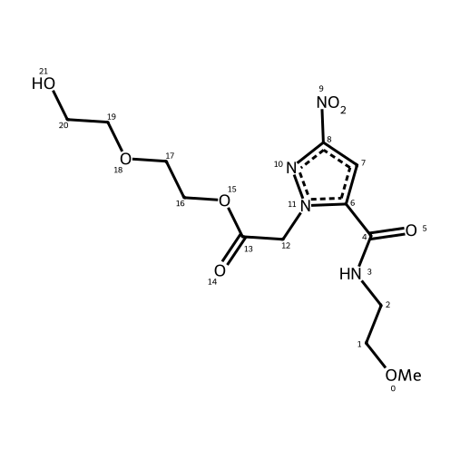 COCCNC(=O)c1cc([N+](=O)[O-])nn1CC(=O)OCCOCCO